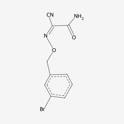 N#C/C(=N/OCc1cccc(Br)c1)C(N)=O